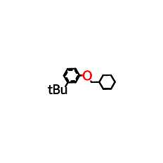 CC(C)(C)c1cccc(OCC2CCCCC2)c1